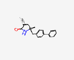 C[C@@H]1C[C@](C)(Cc2ccc(-c3ccccc3)cc2)NC1=O